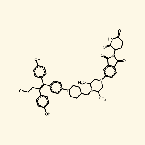 CC1CN(c2ccc3c(c2)C(=O)N(C2CCC(=O)NC2=O)C3=O)CC(C)N1CC1CCN(c2ccc(C(=C(CCCl)c3ccc(O)cc3)c3ccc(O)cc3)cc2)CC1